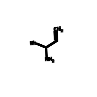 C=C[CH](N)[Rh]